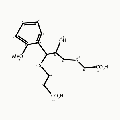 COc1ccccc1C(SCCC(=O)O)C(O)CSCC(=O)O